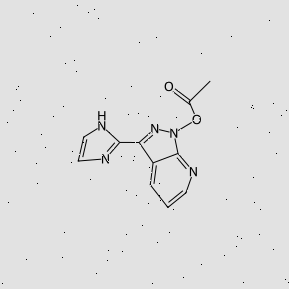 CC(=O)On1nc(-c2ncc[nH]2)c2cccnc21